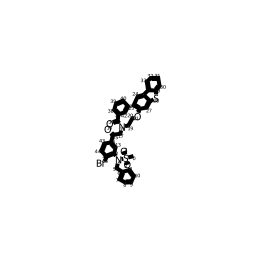 CS(=O)(=O)N(Cc1ccccc1)c1cc(C(=O)CN(CCOc2ccc3c(c2)sc2ccccc23)C(=O)c2ccccc2)ccc1Br